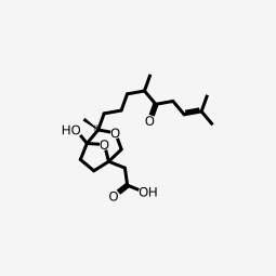 CC(C)=CCC(=O)C(C)CCC[C@]1(C)OCC2(CC(=O)O)CCC1(O)O2